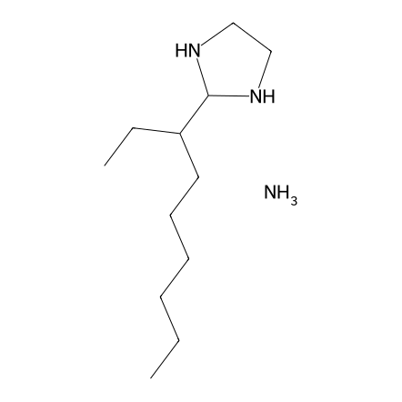 CCCCCCC(CC)C1NCCN1.N